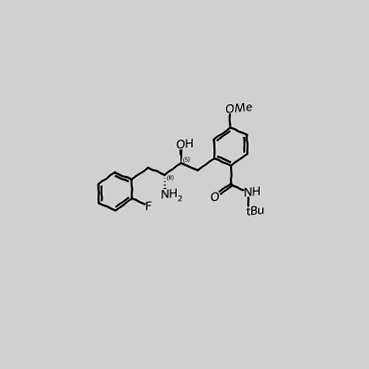 COc1ccc(C(=O)NC(C)(C)C)c(C[C@H](O)[C@H](N)Cc2ccccc2F)c1